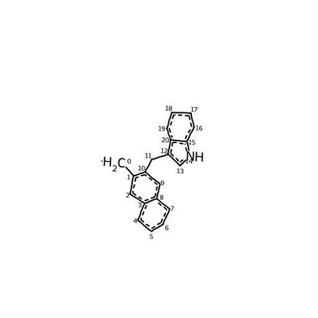 [CH2]c1cc2ccccc2cc1Cc1c[nH]c2ccccc12